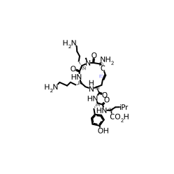 CC(C)C[C@H](NC(=O)[C@H](Cc1ccc(O)cc1)NC(=O)[C@@H]1C/C=C/C[C@H](N)C(=O)N(C)[C@@H](CCCCN)C(=O)N[C@@H](CCCCN)CN1)C(=O)O